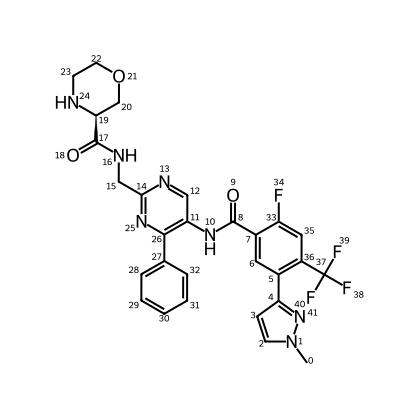 Cn1ccc(-c2cc(C(=O)Nc3cnc(CNC(=O)[C@@H]4COCCN4)nc3-c3ccccc3)c(F)cc2C(F)(F)F)n1